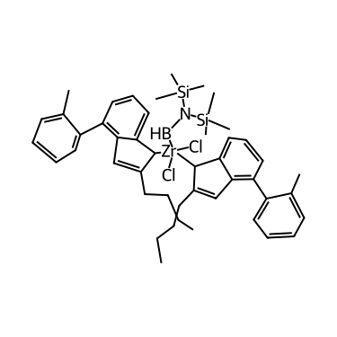 CCCCC1=Cc2c(-c3ccccc3C)cccc2[CH]1[Zr]([Cl])([Cl])([BH]N([Si](C)(C)C)[Si](C)(C)C)[CH]1C(CCCC)=Cc2c(-c3ccccc3C)cccc21